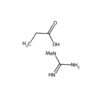 CCC(=O)O.CNC(=N)N